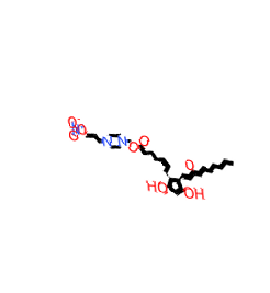 CCCCCCCC(=O)CC[C@@H]1[C@@H](C/C=C\CCCC(=O)OCN2CCN(CCCO[N+](=O)[O-])CC2)[C@@H](O)C[C@H]1O